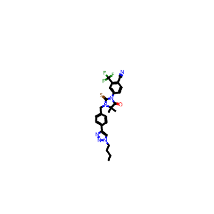 CCCCn1cc(-c2ccc(CN3C(=S)N(c4ccc(C#N)c(C(F)(F)F)c4)C(=O)C3(C)C)cc2)nn1